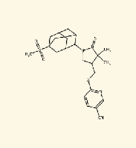 CC1(C)C(=S)N(C2C3CC4CC2CC(S(C)(=O)=O)(C4)C3)CC1COc1ccc(C#N)cn1